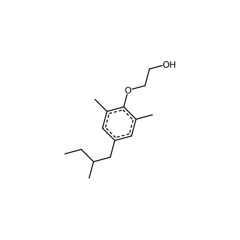 CCC(C)Cc1cc(C)c(OCCO)c(C)c1